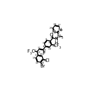 CN(NC(=O)c1ccc(C(F)=CC(c2ccc(Br)c(Cl)c2)C(F)(F)F)cc1C(F)(F)F)c1ncccn1